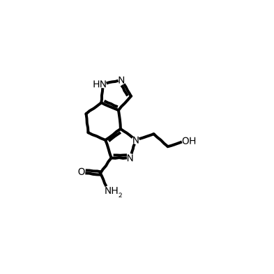 NC(=O)c1nn(CCO)c2c1CCc1[nH]ncc1-2